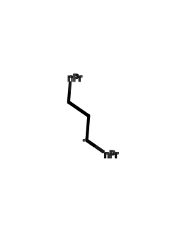 [CH2]CC[CH]CCCCC